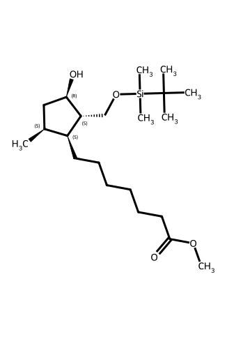 COC(=O)CCCCCC[C@@H]1[C@@H](CO[Si](C)(C)C(C)(C)C)[C@H](O)C[C@@H]1C